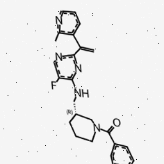 C=C(c1ncc(F)c(NC[C@H]2CCCN(C(=O)c3ccccc3)C2)n1)c1cccnc1C